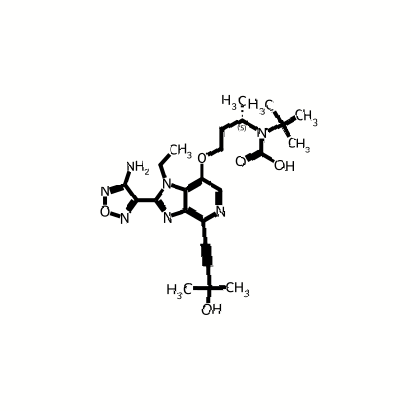 CCn1c(-c2nonc2N)nc2c(C#CC(C)(C)O)ncc(OCC[C@H](C)N(C(=O)O)C(C)(C)C)c21